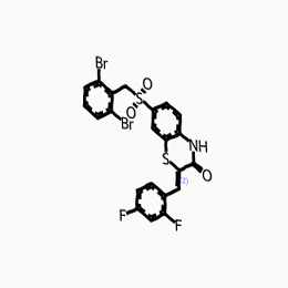 O=C1Nc2ccc(S(=O)(=O)Cc3c(Br)cccc3Br)cc2S/C1=C\c1ccc(F)cc1F